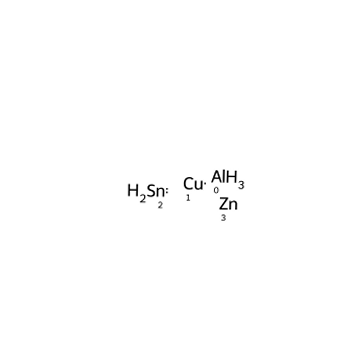 [AlH3].[Cu].[SnH2].[Zn]